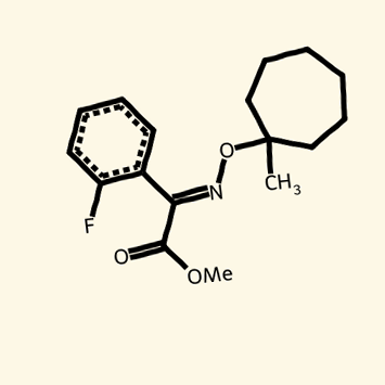 COC(=O)/C(=N/OC1(C)CCCCCC1)c1ccccc1F